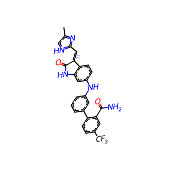 Cc1c[nH]c(/C=C2\C(=O)Nc3cc(Nc4cccc(-c5ccc(C(F)(F)F)cc5C(N)=O)c4)ccc32)n1